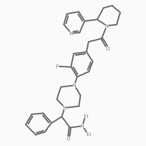 CCN(CC)C(=O)C(c1ccccc1)N1CCN(c2ccc(CC(=O)N3CCCCC3c3cccnc3)cc2F)CC1